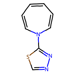 C1=CC=CN(c2nncs2)C=C1